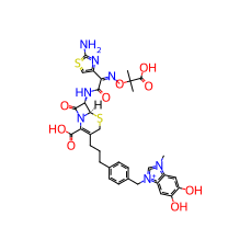 Cn1c[n+](Cc2ccc(CCCC3=C(C(=O)O)N4C(=O)[C@@H](NC(=O)/C(=N\OC(C)(C)C(=O)O)c5csc(N)n5)[C@H]4SC3)cc2)c2cc(O)c(O)cc21